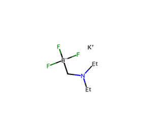 CCN(CC)C[B-](F)(F)F.[K+]